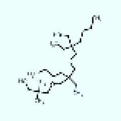 CCCCC(CC)(CO)COCC(CC)(CCCC)COCC(C)(C)CO